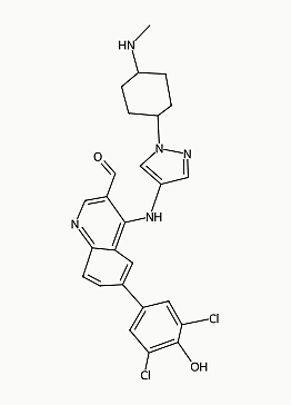 CNC1CCC(n2cc(Nc3c(C=O)cnc4ccc(-c5cc(Cl)c(O)c(Cl)c5)cc34)cn2)CC1